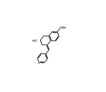 COc1ccc2c(c1)CCCC2=Cc1ccncc1.Cl